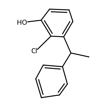 CC(c1ccccc1)c1cccc(O)c1Cl